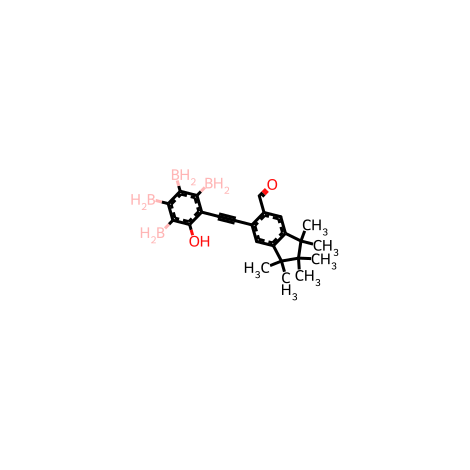 Bc1c(B)c(B)c(C#Cc2cc3c(cc2C=O)C(C)(C)C(C)(C)C3(C)C)c(O)c1B